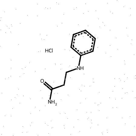 Cl.NC(=O)CCNc1ccccc1